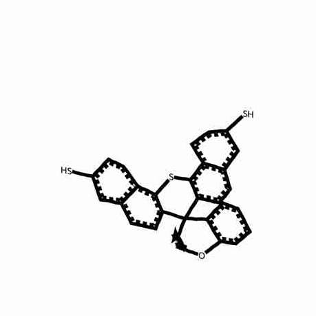 Sc1ccc2c3c(ccc2c1)C1(c2ccccc2Oc2ccccc21)c1ccc2cc(S)ccc2c1S3